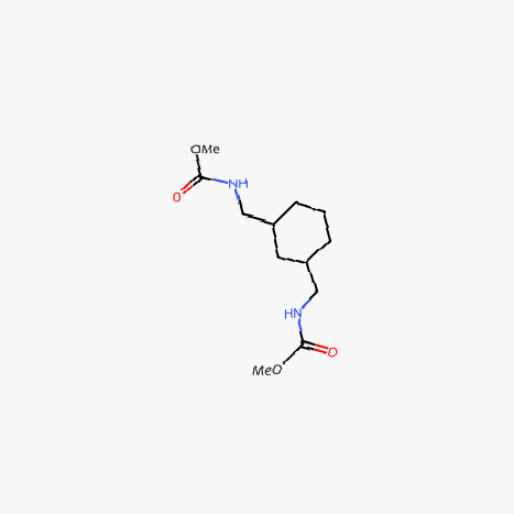 COC(=O)NCC1CCCC(CNC(=O)OC)C1